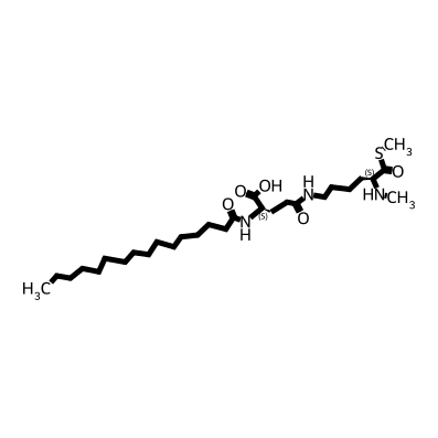 CCCCCCCCCCCCCCCC(=O)N[C@@H](CCC(=O)NCCCC[C@H](NC)C(=O)SC)C(=O)O